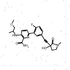 COCC(C)Nc1ccc(-c2cc(C#CC3(O)CCN(C)C3=O)ccc2F)nc1C(N)=O